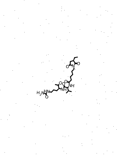 CCC1CC(=O)N(CCCCCC(=O)NC(C(=O)NC(CCCNC(N)=O)C(C)=O)C(C)C)C1=O